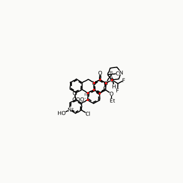 CCOc1cc([C@H](Cc2c(Cl)c[n+](O)cc2Cl)c2c(CN(C(=O)O[C@H]3CN4CCC3CC4)c3ccccc3F)cccc2C(=O)[O-])ccc1OC(F)F